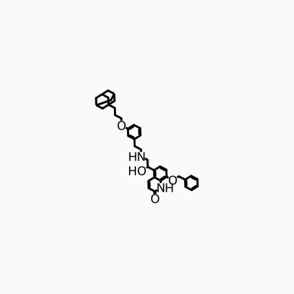 O=c1ccc2c([C@@H](O)CNCCc3cccc(OCCCC45CC6CC(CC(C6)C4)C5)c3)ccc(OCc3ccccc3)c2[nH]1